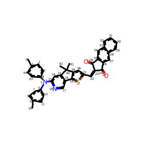 Cc1ccc(N(c2ccc(C)cc2)c2cc3c(cn2)-c2sc(C=C4C(=O)c5cc6ccccc6cc5C4=O)cc2C3(C)C)cc1